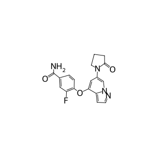 NC(=O)c1ccc(Oc2cc(N3CCCC3=O)cn3nccc23)c(F)c1